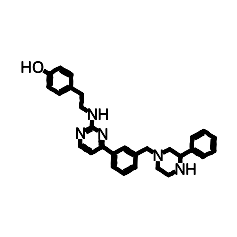 Oc1ccc(CCNc2nccc(-c3cccc(CN4CCNC(c5ccccc5)C4)c3)n2)cc1